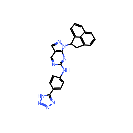 c1cc2c3c(cccc3c1)C(n1ncc3cnc(Nc4ccc(-c5nnn[nH]5)cc4)nc31)C2